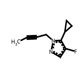 CC#CCn1n[c]c(F)c1C1CC1